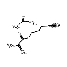 C#CCCCOC(=O)C(=C)C.CC(C)=O